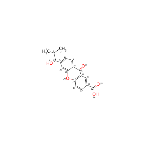 CC(C)C(O)c1ccc2c(=O)c3cc(C(=O)O)ccc3oc2c1